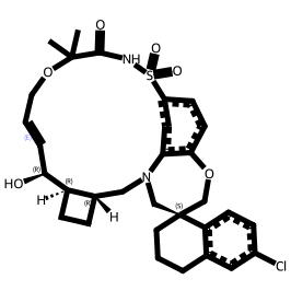 CC1(C)OC/C=C/[C@H](O)[C@@H]2CC[C@H]2CN2C[C@@]3(CCCc4cc(Cl)ccc43)COc3ccc(cc32)S(=O)(=O)NC1=O